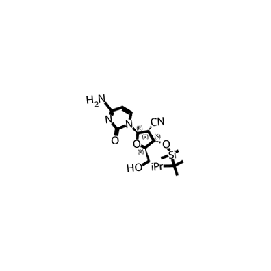 CC(C)C(C)(C)[Si](C)(C)O[C@H]1[C@@H](C#N)[C@H](n2ccc(N)nc2=O)O[C@@H]1CO